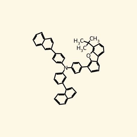 CC(C)(C)c1cccc2c1oc1c(-c3ccc(N(c4ccc(-c5ccc6ccccc6c5)cc4)c4cccc(-c5cccc6ccccc56)c4)cc3)cccc12